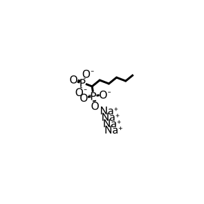 CCCCCC(P(=O)([O-])[O-])P(=O)([O-])[O-].[Na+].[Na+].[Na+].[Na+]